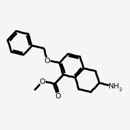 COC(=O)c1c(OCc2ccccc2)ccc2c1CCC(N)C2